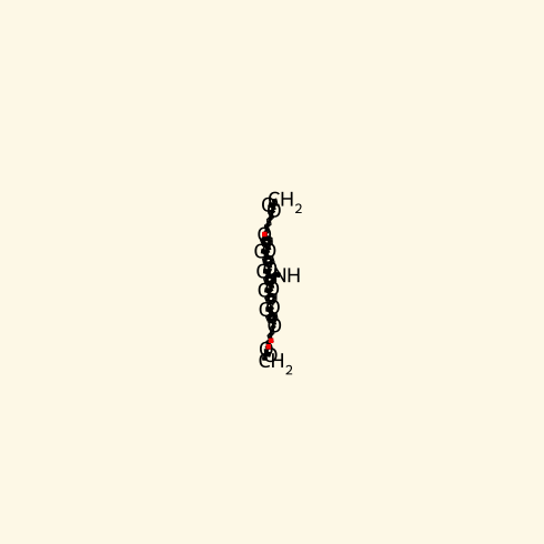 C=CC(=O)OCCCCCCOc1ccc(OC(=O)C2CCC(OC(=O)c3ccc(OC(=O)[C@H]4CC[C@@H](OC(=O)c5ccc(OCCCCCCOC(=O)C=C)cc5)CC4)cc3C=N)CC2)cc1